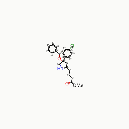 COC(=O)CCCC1CC(OCc2ccccc2)(c2ccc(Cl)cc2)CN1